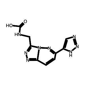 O=C(O)NCc1nnc2ccc(-c3cnn[nH]3)nn12